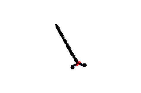 C=C=C=C=C=C=C=C=C=C=C=C=C=C=C=C=C=C=C=C=C=C=C=C=C=C=C=C=C=C=C=C=C=C=C=C(OC/C=C/c1ccccc1)OC/C=C/c1ccccc1